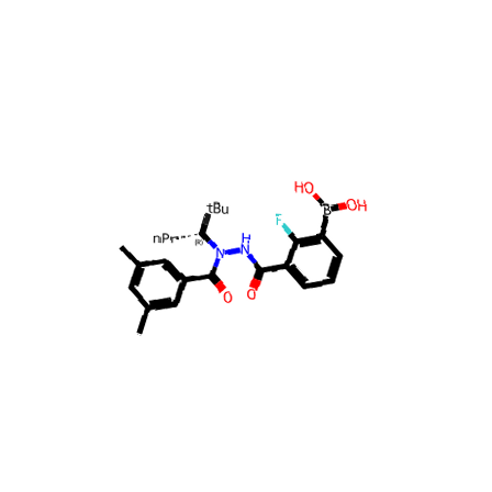 CCC[C@@H](N(NC(=O)c1cccc(B(O)O)c1F)C(=O)c1cc(C)cc(C)c1)C(C)(C)C